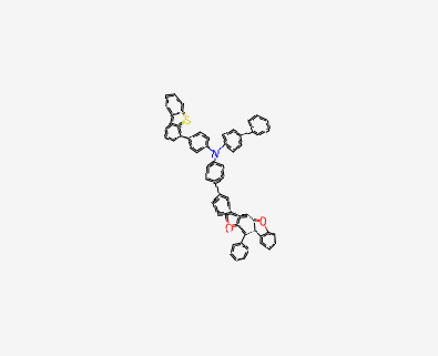 C1=c2c(oc3ccc(-c4ccc(N(c5ccc(-c6ccccc6)cc5)c5ccc(-c6cccc7c6sc6ccccc67)cc5)cc4)cc23)=C(c2ccccc2)C2c3ccccc3OC12